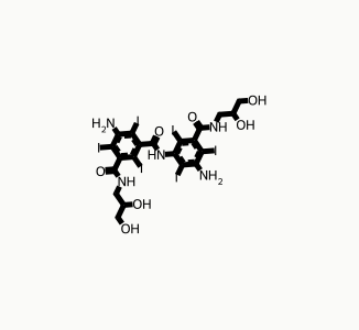 Nc1c(I)c(NC(=O)c2c(I)c(N)c(I)c(C(=O)NCC(O)CO)c2I)c(I)c(C(=O)NCC(O)CO)c1I